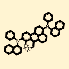 C/C=c1/c2cccc3c(N(c4ccccc4)c4cccc5ccccc45)ccc(c4ccc(N(c5ccccc5)c5cccc6ccccc56)c(CC)c14)c32